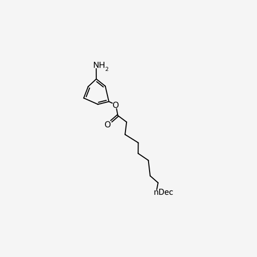 CCCCCCCCCCCCCCCCCC(=O)Oc1cccc(N)c1